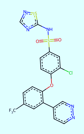 O=S(=O)(Nc1ncns1)c1ccc(Oc2ccc(C(F)(F)F)cc2-c2ccnnc2)c(Cl)c1